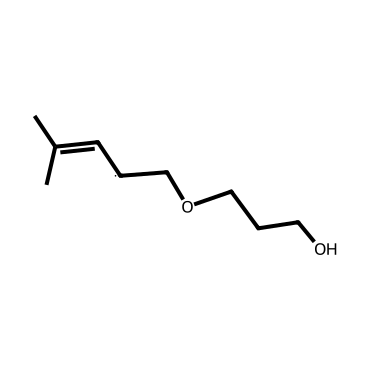 CC(C)=C[CH]COCCCO